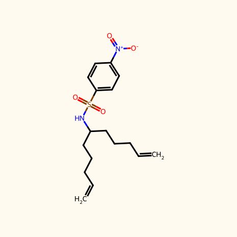 C=CCCCC(CCCC=C)NS(=O)(=O)c1ccc([N+](=O)[O-])cc1